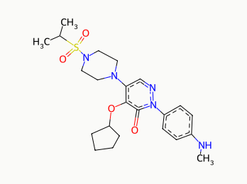 CNc1ccc(-n2ncc(N3CCN(S(=O)(=O)C(C)C)CC3)c(OC3CCCC3)c2=O)cc1